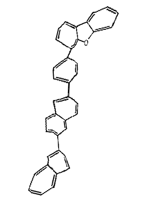 c1ccc2cc(-c3ccc4cc(-c5ccc(-c6cccc7c6oc6ccccc67)cc5)ccc4c3)ccc2c1